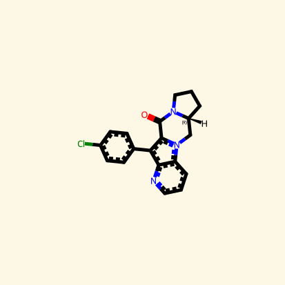 O=C1c2c(-c3ccc(Cl)cc3)c3ncccc3n2C[C@H]2CCCN12